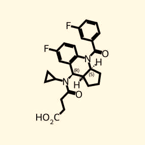 O=C(O)CCC(=O)N(C1CC1)[C@H]1c2cc(F)ccc2N(C(=O)c2cccc(F)c2)[C@H]2CCC[C@@H]21